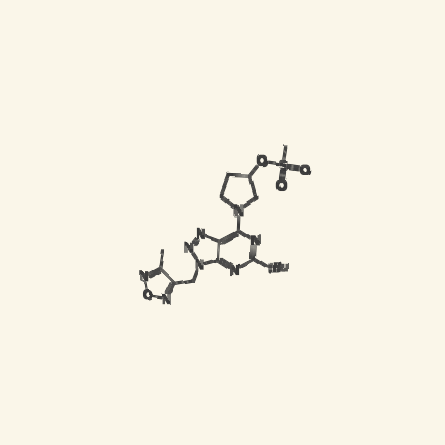 Cc1nonc1Cn1nnc2c(N3CCC(OS(C)(=O)=O)C3)nc(C(C)(C)C)nc21